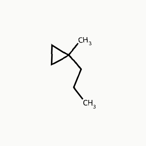 CCCC1(C)CC1